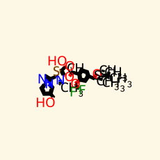 CCN1C(O[C@H](C)c2ccc(CO[Si](C)(C)C(C)(C)C)cc2OC(F)F)=C(C(=O)O)SC1c1cnc2ccc(CO)cn12